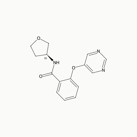 O=C(N[C@H]1CCOC1)c1ccccc1Oc1cncnc1